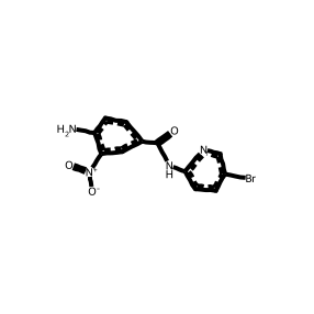 Nc1ccc(C(=O)Nc2ccc(Br)cn2)cc1[N+](=O)[O-]